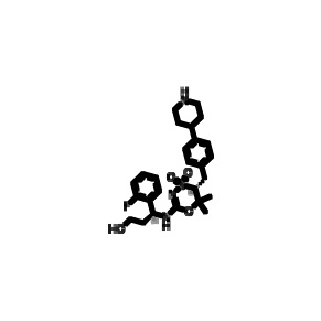 CC1(C)OC(N[C@@H](CCO)c2ccccc2F)=NS(=O)(=O)[C@@H]1Cc1ccc(C2CCNCC2)cc1